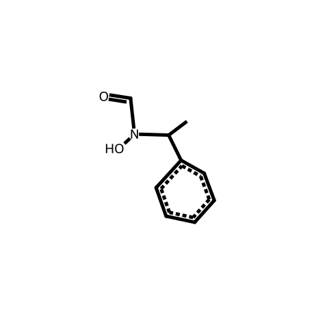 CC(c1ccccc1)N(O)C=O